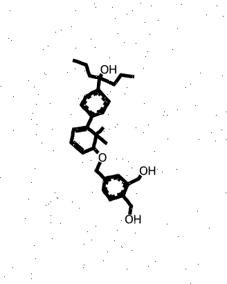 CCCC(O)(CCC)c1ccc(C2=CC=CC(OCc3ccc(CO)c(CO)c3)C2(C)C)cc1